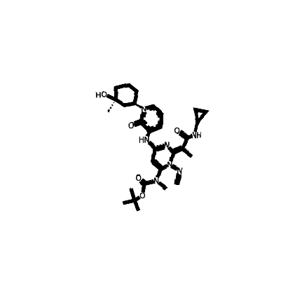 C=NN1C(N(C)C(=O)OC(C)(C)C)=CC(Nc2cccn([C@@H]3CCC[C@](C)(O)C3)c2=O)=N/C1=C(/C)C(=O)NC1CC1